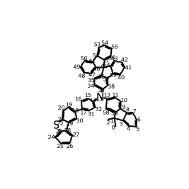 CC1(C)c2ccccc2-c2ccc(N(c3ccc(-c4ccc5sc6ccccc6c5c4)cc3)c3ccc4c(c3)-c3ccccc3C43c4ccccc4-c4ccccc43)cc21